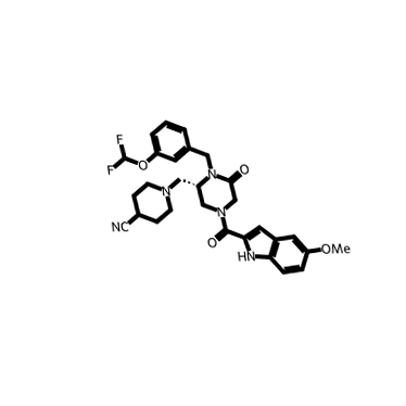 COc1ccc2[nH]c(C(=O)N3CC(=O)N(Cc4cccc(OC(F)F)c4)[C@@H](CN4CCC(C#N)CC4)C3)cc2c1